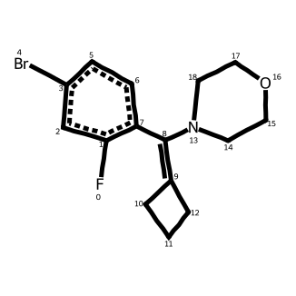 Fc1cc(Br)ccc1C(=C1CCC1)N1CCOCC1